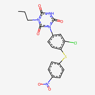 CCCn1c(=O)[nH]c(=O)n(-c2ccc(Sc3ccc([N+](=O)[O-])cc3)c(Cl)c2)c1=O